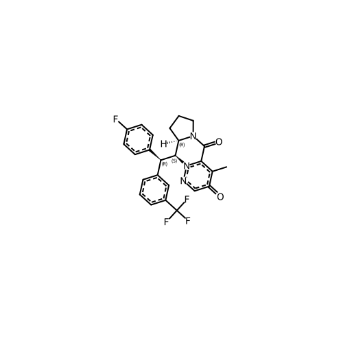 Cc1c2n(ncc1=O)[C@@H]([C@H](c1ccc(F)cc1)c1cccc(C(F)(F)F)c1)[C@H]1CCCN1C2=O